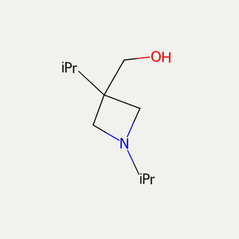 CC(C)N1CC(CO)(C(C)C)C1